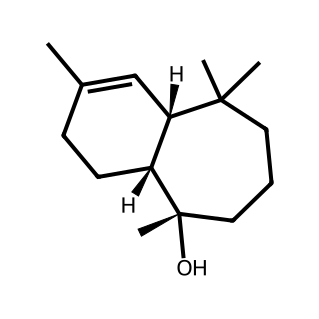 CC1=C[C@H]2[C@@H](CC1)[C@@](C)(O)CCCC2(C)C